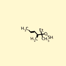 C=C(C=CC)C(C)(CC)OS